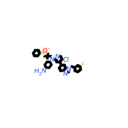 CC(C)(CN(c1cc(-c2ccc3ncn(Cc4cccc(F)c4)c3c2)c(Cl)cn1)C1CCC(N)CC1)C[S+]([O-])c1ccccc1